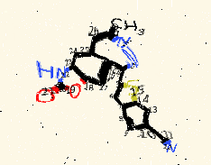 CC1=NN=C(c2cc3ccc(C#N)cc3s2)c2cc3oc(=O)[nH]c3cc2C1